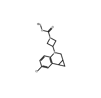 CC(C)(C)OC(=O)N1CC(N2CC3CC3c3cc(Cl)ccc32)C1